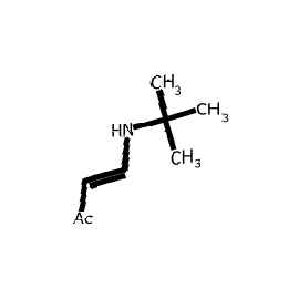 CC(=O)C=CNC(C)(C)C